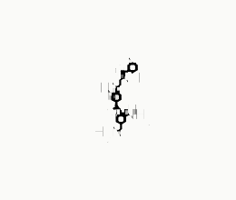 NCc1ccc(NC(=O)c2ccc(NCCNC(=O)c3cccnc3)nc2)c(N)c1